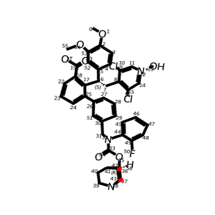 COc1ccc([C@H](Cc2c(Cl)c[n+](O)cc2Cl)c2c(C(=O)[O-])cccc2-c2cccc(CN(C(=O)O[C@H]3CN4CCC3CC4)c3ccccc3F)c2)cc1OC